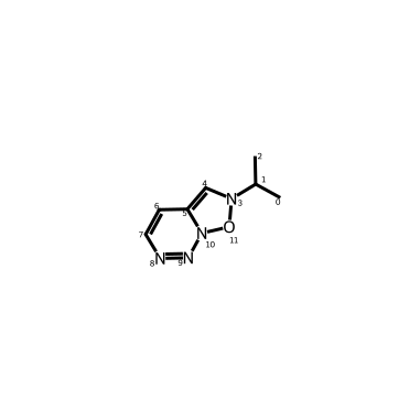 CC(C)N1C=C2C=CN=NN2O1